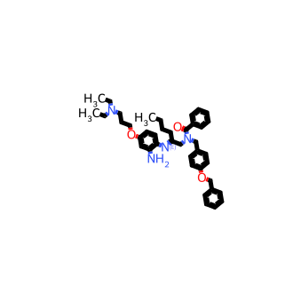 CCCC/C(CN(Cc1ccc(OCc2ccccc2)cc1)C(=O)c1ccccc1)=N\c1ccc(OCCCN(CC)CC)cc1N